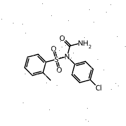 Cc1ccccc1S(=O)(=O)N(C(N)=O)c1ccc(Cl)cc1